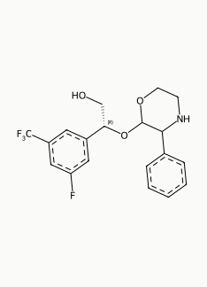 OC[C@H](OC1OCCNC1c1ccccc1)c1cc(F)cc(C(F)(F)F)c1